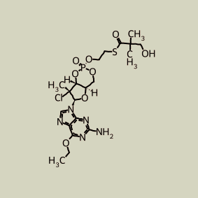 CCOc1nc(N)nc2c1ncn2[C@@H]1O[C@@H]2CO[P@](=O)(OCCSC(=O)C(C)(C)CO)O[C@H]2[C@@]1(C)Cl